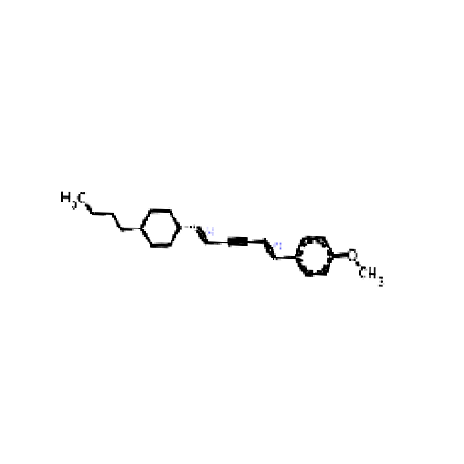 CCCC[C@H]1CC[C@H](/C=C/C#C/C=C/c2ccc(OC)cc2)CC1